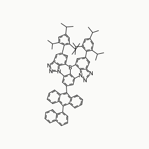 CC(C)c1cc(C(C)C)c(-c2cc3c4c(c2)nnn4-c2cc(-c4c5ccccc5c(-c5cccc6ccccc56)c5ccccc45)cc4c2B3c2cc(-c3c(C(C)C)cc(C(C)C)cc3C(C)C)cc3nnn-4c23)c(C(C)C)c1